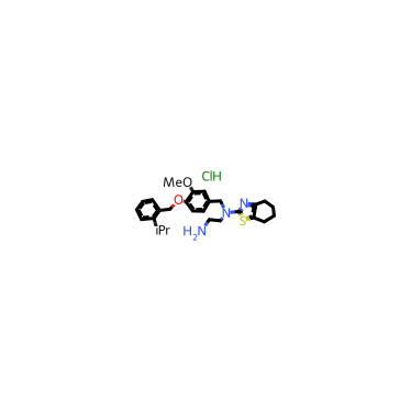 COc1cc(CN(CCN)c2nc3c(s2)CCCC3)ccc1OCc1ccccc1C(C)C.Cl